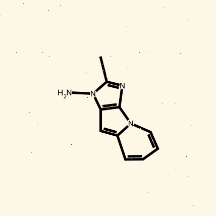 Cc1nc2c(cc3ccccn32)n1N